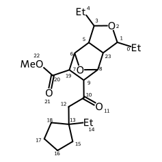 CCC1OC(CC)C2C3OC(C(C(=O)CC4(CC)CCCC4)C3C(=O)OC)C12